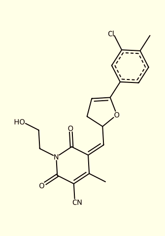 CC1=C(C#N)C(=O)N(CCO)C(=O)/C1=C\C1CC=C(c2ccc(C)c(Cl)c2)O1